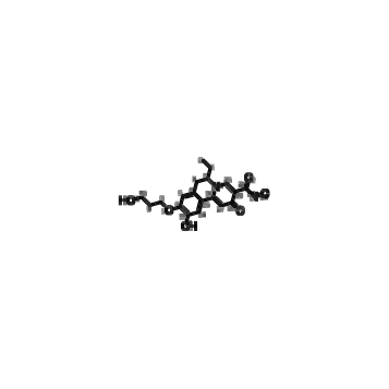 CCC1Cc2cc(OCCCO)c(O)cc2-c2cc(=O)c(C(=O)N=O)cn21